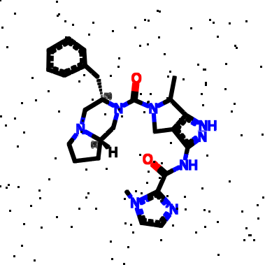 CC1c2[nH]nc(NC(=O)c3nccn3C)c2CN1C(=O)N1C[C@@H]2CCCN2C[C@@H]1Cc1ccccc1